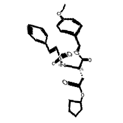 COc1ccc(COC(=O)[C@H](CC(=O)OC2CCCC2)NS(=O)(=O)C=Cc2ccccc2)cc1